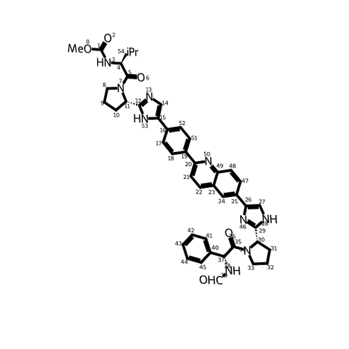 COC(=O)N[C@H](C(=O)N1CCC[C@H]1c1ncc(-c2ccc(-c3ccc4cc(-c5c[nH]c([C@@H]6CCCN6C(=O)[C@H](NC=O)c6ccccc6)n5)ccc4n3)cc2)[nH]1)C(C)C